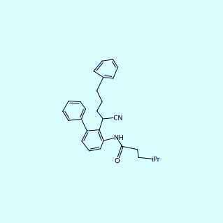 CC(C)CCC(=O)Nc1cccc(-c2ccccc2)c1C(C#N)CCCc1ccccc1